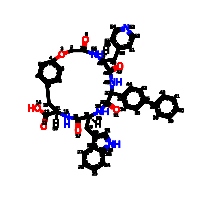 O=C1COc2ccc(cc2)C[C@@H](C(=O)O)NC(=O)[C@H](Cc2c[nH]c3ccccc23)NC(=O)C(c2ccc(-c3ccccc3)cc2)NC(=O)[C@H](Cc2ccncc2)N1